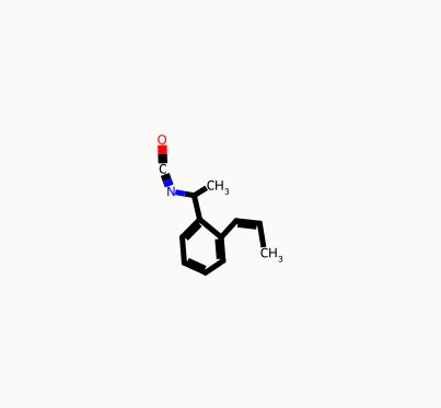 C/C=C\c1ccccc1C(C)N=C=O